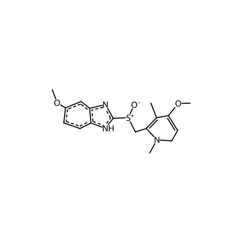 COC1=CCN(C)C(C[S+]([O-])c2nc3cc(OC)ccc3[nH]2)=C1C